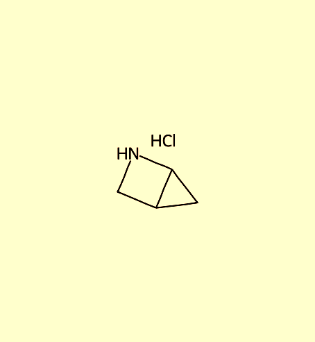 C1NC2CC12.Cl